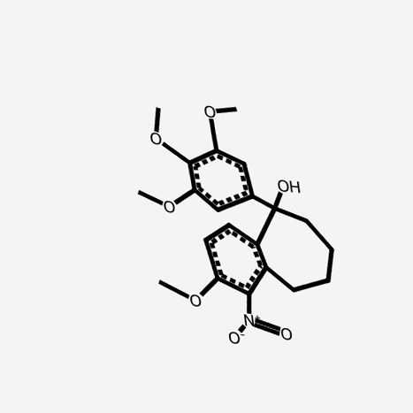 COc1cc(C2(O)CCCCc3c2ccc(OC)c3[N+](=O)[O-])cc(OC)c1OC